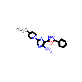 Nc1ncc(N2CC=C(C(=O)O)CC2)nc1-c1nnc(-c2ccccc2)o1